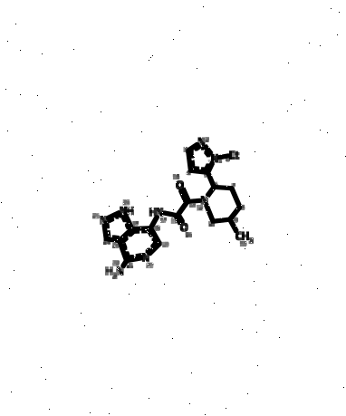 CCn1nccc1C1CCC(C)CN1C(=O)C(=O)Nc1cnc(N)c2cn[nH]c12